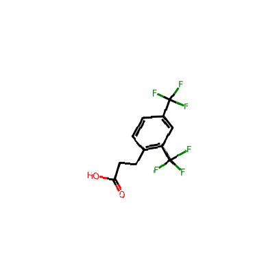 O=C(O)CCc1ccc(C(F)(F)F)cc1C(F)(F)F